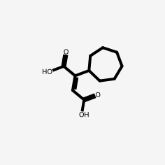 O=C(O)/C=C(/C(=O)O)C1CCCCCC1